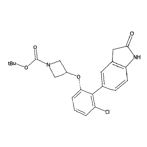 CC(C)(C)OC(=O)N1CC(Oc2cccc(Cl)c2-c2ccc3c(c2)CC(=O)N3)C1